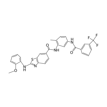 COc1ccccc1Nc1nc2ccc(C(=O)Nc3cc(NC(=O)c4cccc(C(F)(F)F)c4)ccc3C)cc2s1